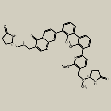 CNc1nc(-c2cccc(-c3cccc(-c4ccn5c(=O)c(CNC[C@@H]6CCC(=O)N6)cnc5c4)c3C)c2Cl)ccc1CN(C)[C@H]1CCC(=O)N1